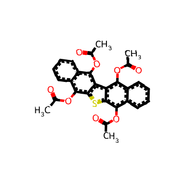 CC(=O)Oc1c2ccccc2c(OC(C)=O)c2c1sc1c(OC(C)=O)c3ccccc3c(OC(C)=O)c12